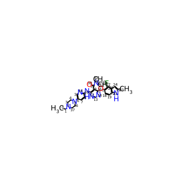 CCN1CCN(c2ccc(Nc3ncnc(Oc4ccc5[nH]c(C)cc5c4F)c3C(=O)N(C)C)nc2)CC1